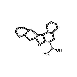 OB(O)c1cc2ccccc2c2c1oc1cc3ccccc3cc12